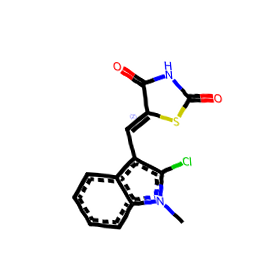 Cn1c(Cl)c(/C=C2\SC(=O)NC2=O)c2ccccc21